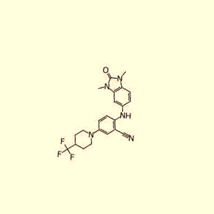 Cn1c(=O)n(C)c2cc(Nc3ccc(N4CCC(C(F)(F)F)CC4)cc3C#N)ccc21